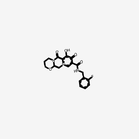 O=C(NCc1ccccc1F)c1cn2c(c(O)c1=O)C(=O)N1CCCOC1C2